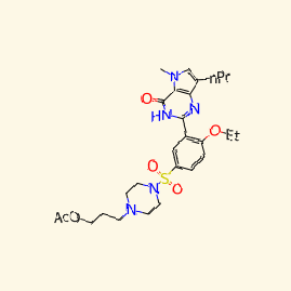 CCCc1cn(C)c2c(=O)[nH]c(-c3cc(S(=O)(=O)N4CCN(CCCOC(C)=O)CC4)ccc3OCC)nc12